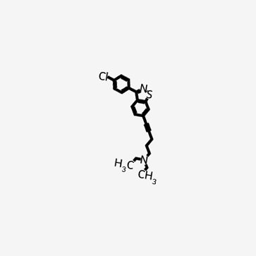 CCN(CC)CCCC#Cc1ccc2c(-c3ccc(Cl)cc3)nsc2c1